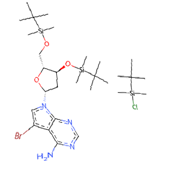 CC(C)(C)[Si](C)(C)Cl.CC(C)(C)[Si](C)(C)OC[C@H]1O[C@@H](n2cc(Br)c3c(N)ncnc32)C[C@@H]1O[Si](C)(C)C(C)(C)C